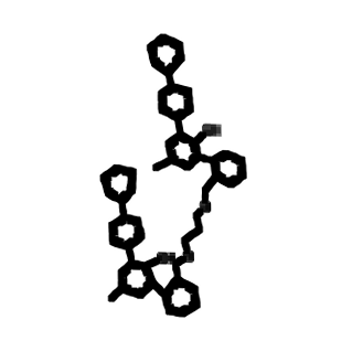 Cc1cc(-c2ccc(-c3ccccc3)cc2)c(O)c(-c2ccccc2COCCCOCc2ccccc2-c2cc(C)cc(-c3ccc(-c4ccccc4)cc3)c2O)c1